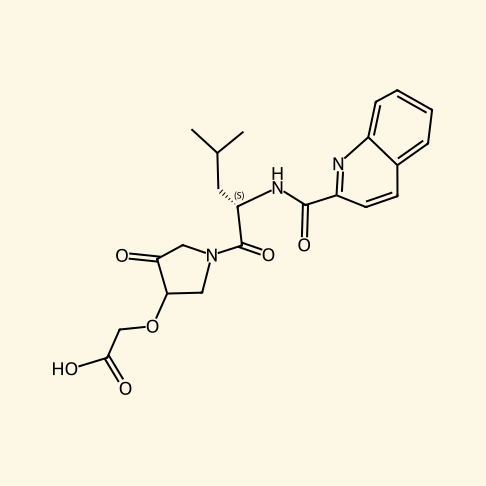 CC(C)C[C@H](NC(=O)c1ccc2ccccc2n1)C(=O)N1CC(=O)C(OCC(=O)O)C1